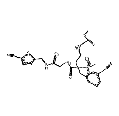 COC(=O)NCCC(Cc1cccc(C#N)c1)(C(=O)NCC(=O)NCc1ccc(C#N)s1)S(C)(=O)=O